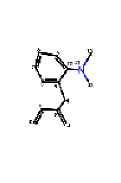 C=CC(=C)Cc1ccccc1N(C)C